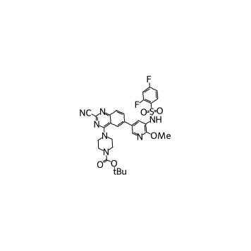 COc1ncc(-c2ccc3nc(C#N)nc(N4CCN(C(=O)OC(C)(C)C)CC4)c3c2)cc1NS(=O)(=O)c1ccc(F)cc1F